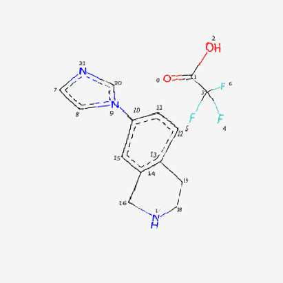 O=C(O)C(F)(F)F.c1cn(-c2ccc3c(c2)CNCC3)cn1